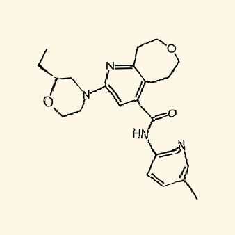 CC[C@H]1CN(c2cc(C(=O)Nc3ccc(C)cn3)c3c(n2)CCOCC3)CCO1